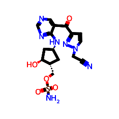 N#CCn1ccc(C(=O)c2cncnc2N[C@@H]2C[C@H](COS(N)(=O)=O)[C@@H](O)C2)n1